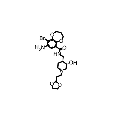 Nc1cc(C(=O)NC[C@@H]2CCN(CCC3OCCO3)C[C@H]2O)c2c(c1Br)OCCCO2